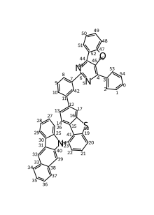 c1ccc(-c2nc(-c3cccc(-c4ccc5c(c4)sc4cccc(-n6c7ccccc7c7cc8ccccc8cc76)c45)c3)nc3c2oc2ccccc23)cc1